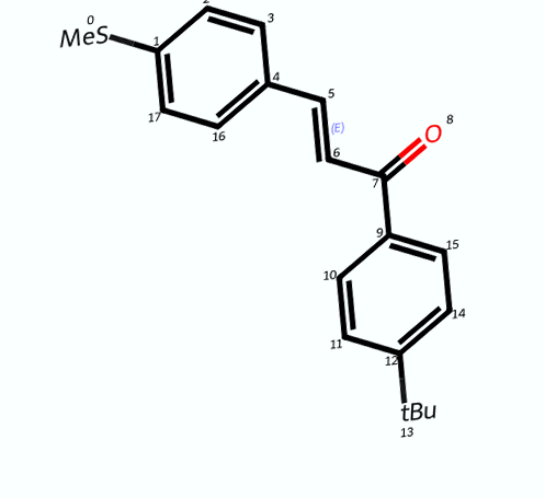 CSc1ccc(/C=C/C(=O)c2ccc(C(C)(C)C)cc2)cc1